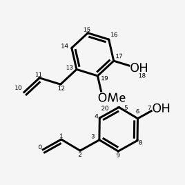 C=CCc1ccc(O)cc1.C=CCc1cccc(O)c1OC